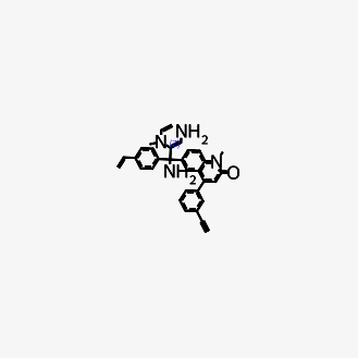 C#Cc1cccc(-c2cc(=O)n(C)c3ccc(C(N)(/C(=C/N)N(C)C=C)c4ccc(C=C)cc4)cc23)c1